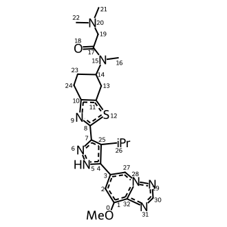 COc1cc(-c2[nH]nc(-c3nc4c(s3)CC(N(C)C(=O)CN(C)C)CC4)c2C(C)C)cn2ncnc12